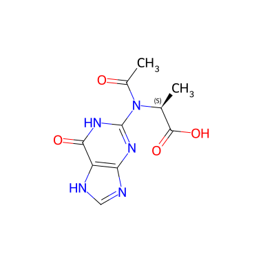 CC(=O)N(c1nc2nc[nH]c2c(=O)[nH]1)[C@@H](C)C(=O)O